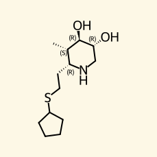 C[C@@H]1[C@@H](O)[C@H](O)CN[C@@H]1CCSC1CCCC1